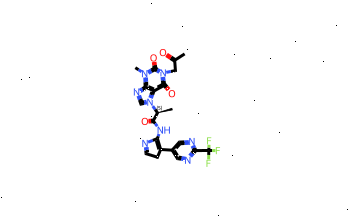 CC(=O)Cn1c(=O)c2c(ncn2[C@@H](C)C(=O)NC2=C(c3cnc(C(F)(F)F)nc3)CC=N2)n(C)c1=O